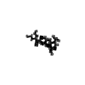 CCCC(CCC)Nc1ncc(Cc2cc(SC)ncc2C(C)C)c(N)n1